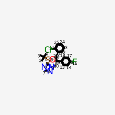 CC(C)(C)Sc1ncnn1C[C@]1(c2ccc(F)cc2)O[C@H]1c1ccccc1Cl